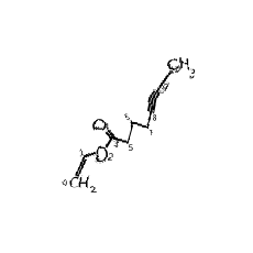 C=COC(=O)CCCC#CC